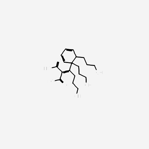 CCCCC(=C(C(=O)O)C(=O)O)C1(CCCC)C=CC=CC1CCCC